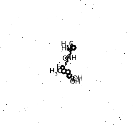 Cc1cccc2c(CCNC(=O)CCC[C@H]3CC(F)(F)[C@@]4(C)CCC5c6ccc(B(O)O)cc6CCC5C34)c[nH]c12